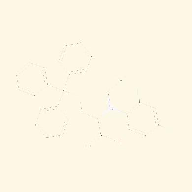 O=C(O)C(CSC(c1ccccc1)(c1ccccc1)c1ccccc1)N(CC(F)(F)F)c1ccc(F)cc1F